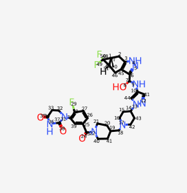 C[C@@]12Cc3[nH]nc(C(O)Nc4cnn(C5CCN(CC6CCN(C(=O)c7ccc(F)c(N8CCC(=O)NC8=O)c7)CC6)CC5)c4)c3C[C@@H]1C2(F)F